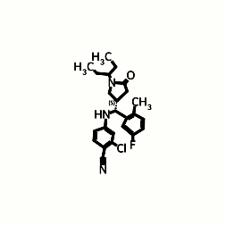 CCC(CC)N1C[C@@H](C(Nc2ccc(C#N)c(Cl)c2)c2cc(F)ccc2C)CC1=O